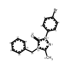 Cc1nn(-c2ccc(Br)cc2)c(=O)n1Cc1ccccc1